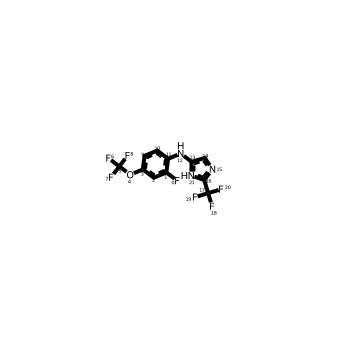 Fc1cc(OC(F)(F)F)ccc1Nc1cnc(C(F)(F)F)[nH]1